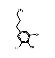 NCCCc1cc(O)c(O)c(O)c1